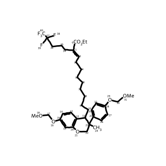 CCOC(=O)C(=CCCCCCCCCC1c2ccc(OCOC)cc2OCC1(C)c1ccc(OCOC)cc1)CCCC(F)(F)C(F)(F)F